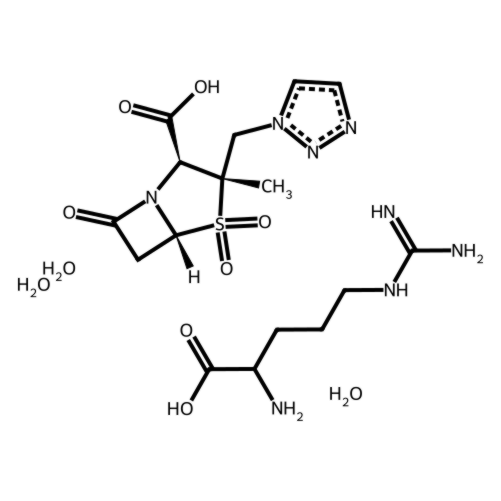 C[C@]1(Cn2ccnn2)[C@H](C(=O)O)N2C(=O)C[C@H]2S1(=O)=O.N=C(N)NCCCC(N)C(=O)O.O.O.O